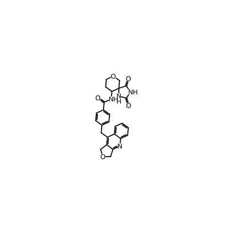 O=C1NC(=O)C2(COCCC2NC(=O)c2ccc(Cc3c4c(nc5ccccc35)COC4)cc2)N1